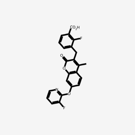 Cc1c(Cc2cccc(C(=O)O)c2F)c(=O)oc2cc(Oc3ncccc3F)ccc12